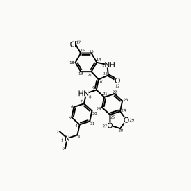 CN(C)Cc1ccc(NC(=C2C(=O)Nc3cc(Cl)ccc32)c2ccc3c(c2)OCO3)cc1